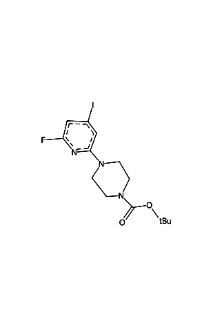 CC(C)(C)OC(=O)N1CCN(c2cc(I)cc(F)n2)CC1